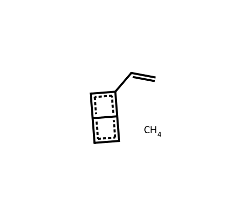 C.C=Cc1cc2ccc1-2